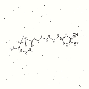 CCCC1SSSSC(CCCCCCCc2ccc(C(C)(C)C)c(O)c2)C2CC1S2